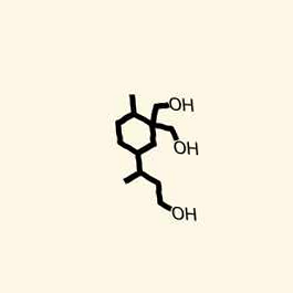 CC(CCO)C1CCC(C)C(CO)(CO)C1